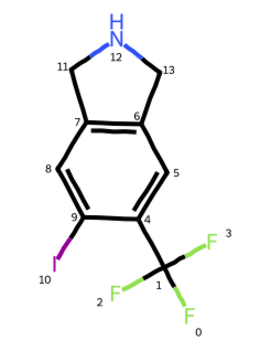 FC(F)(F)c1cc2c(cc1I)CNC2